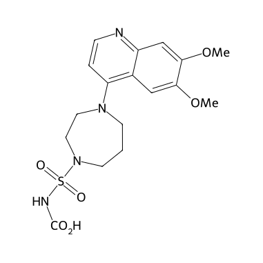 COc1cc2nccc(N3CCCN(S(=O)(=O)NC(=O)O)CC3)c2cc1OC